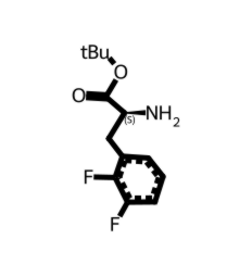 CC(C)(C)OC(=O)[C@@H](N)Cc1cccc(F)c1F